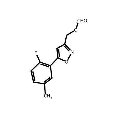 Cc1ccc(F)c(-c2cc(COC=O)no2)c1